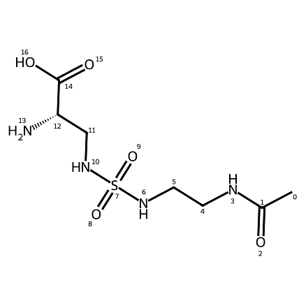 CC(=O)NCCNS(=O)(=O)NC[C@H](N)C(=O)O